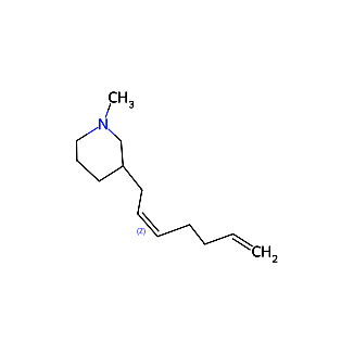 C=CCC/C=C\CC1CCCN(C)C1